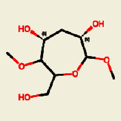 COC1C(CO)OC(OC)[C@@H](O)C[C@H]1O